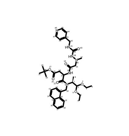 CCOC(OCC)[C@H](C)N(Cc1cccc2ccccc12)C(=O)C(CC(=O)OC(C)(C)C)NC(=O)CN(C)NC(=O)NCc1ccncc1